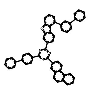 c1ccc(-c2ccc(-c3nc(-c4ccc5c(ccc6ccccc65)c4)nc(-c4ccc5c(c4)oc4cccc(-c6cccc(-c7ccccc7)c6)c45)n3)cc2)cc1